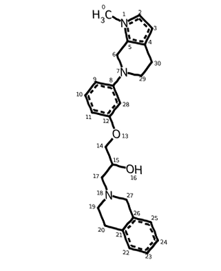 Cn1ccc2c1CN(c1cccc(OCC(O)CN3CCc4ccccc4C3)c1)CC2